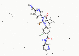 Cc1ccc(NC(=O)c2ccc(N3C(=S)N(c4cnc(C#N)c(C)c4)C(=O)C34CCC4)cc2F)cn1